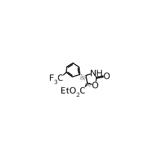 CCOC(=O)[C@@H]1OC(=O)N[C@H]1c1cccc(C(F)(F)F)c1